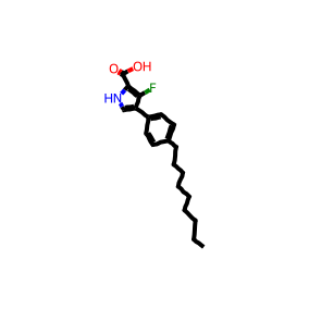 CCCCCCCCCc1ccc(-c2c[nH]c(C(=O)O)c2F)cc1